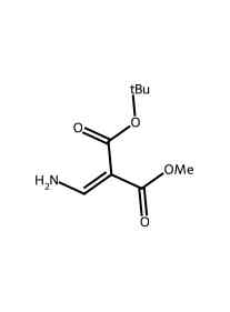 COC(=O)C(=CN)C(=O)OC(C)(C)C